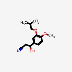 COc1ccc(C(O)CC#N)cc1OCC(C)C